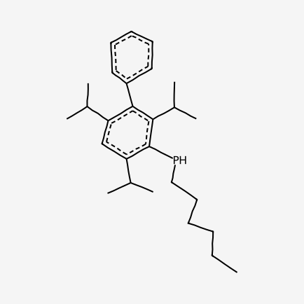 CCCCCCPc1c(C(C)C)cc(C(C)C)c(-c2ccccc2)c1C(C)C